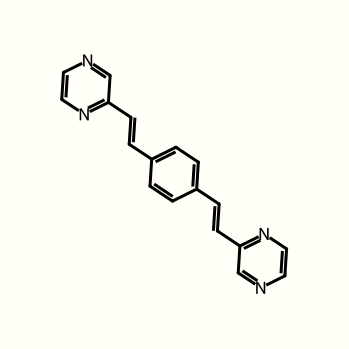 C(=Cc1cnccn1)c1ccc(C=Cc2cnccn2)cc1